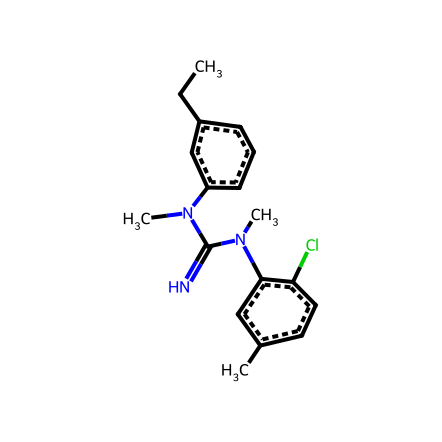 CCc1cccc(N(C)C(=N)N(C)c2cc(C)ccc2Cl)c1